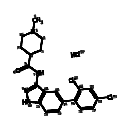 CN1CCC(C(=O)Nc2n[nH]c3ccc(-c4ccc(Cl)cc4Cl)cc23)CC1.Cl